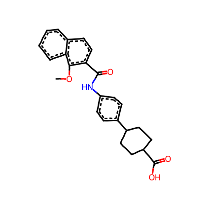 COc1c(C(=O)Nc2ccc(C3CCC(C(=O)O)CC3)cc2)ccc2ccccc12